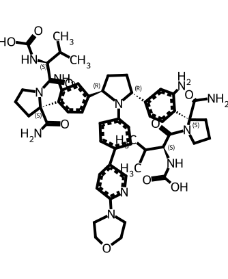 CC(C)[C@H](NC(=O)O)C(=O)N1CCC[C@@]1(C(N)=O)c1ccc([C@H]2CC[C@H](c3ccc([C@]4(C(N)=O)CCCN4C(=O)[C@@H](NC(=O)O)C(C)C)c(N)c3)N2c2ccc(-c3ccc(N4CCOCC4)nc3)cc2)cc1N